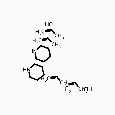 C1CCNCC1.C1CCNCC1.C=CC.C=CC.C=CC.C=CC.Cl.Cl